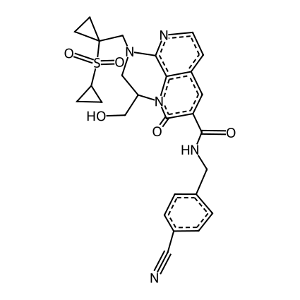 N#Cc1ccc(CNC(=O)c2cc3ccnc4c3n(c2=O)C(CO)CN4CC2(S(=O)(=O)C3CC3)CC2)cc1